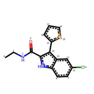 CCNC(=O)c1[nH]c2ccc(Cl)cc2c1-c1cccs1